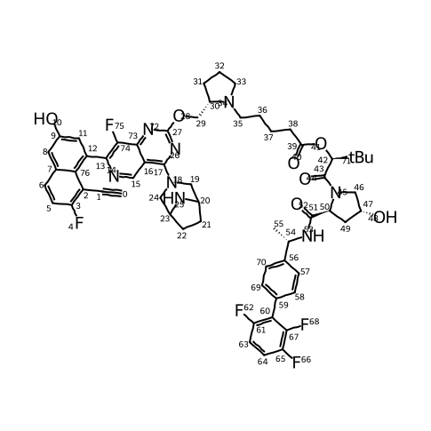 C#Cc1c(F)ccc2cc(O)cc(-c3ncc4c(N5CC6CCC(C5)N6)nc(OC[C@@H]5CCCN5CCCCC(=O)O[C@H](C(=O)N5C[C@H](O)C[C@H]5C(=O)N[C@@H](C)c5ccc(-c6c(F)ccc(F)c6F)cc5)C(C)(C)C)nc4c3F)c12